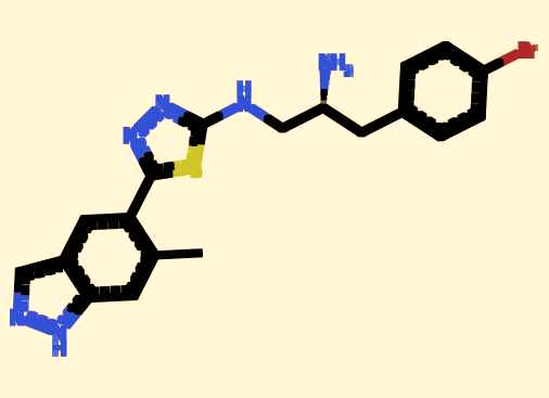 Cc1cc2[nH]ncc2cc1-c1nnc(NC[C@H](N)Cc2ccc(Br)cc2)s1